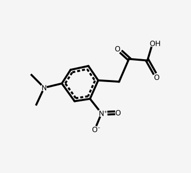 CN(C)c1ccc(CC(=O)C(=O)O)c([N+](=O)[O-])c1